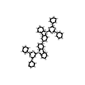 c1ccc(-c2cc(-n3c4ccccc4c4cc(-c5ccc6c(c5)c5ccccc5n6-c5nc(-c6ccccc6)nc(-c6ccccc6)n5)ccc43)nc(-c3ccccc3)n2)cc1